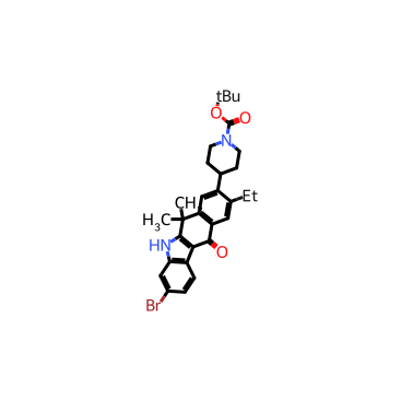 CCc1cc2c(cc1C1CCN(C(=O)OC(C)(C)C)CC1)C(C)(C)c1[nH]c3cc(Br)ccc3c1C2=O